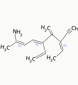 C#C/C(=C/C)C(=C)/C(C=C)=C/C=C(/C)N